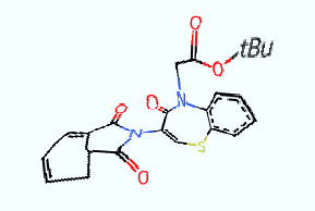 CC(C)(C)OC(=O)CN1C(=O)C(N2C(=O)C3=CC=CCC3C2=O)=CSc2ccccc21